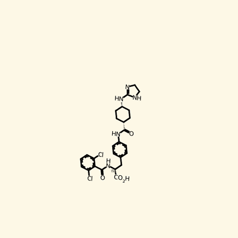 O=C(N[C@@H](Cc1ccc(NC(=O)[C@H]2CC[C@@H](NC3=NCCN3)CC2)cc1)C(=O)O)c1c(Cl)cccc1Cl